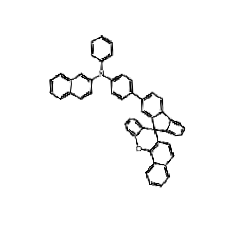 c1ccc(N(c2ccc(-c3ccc4c(c3)C3(c5ccccc5Oc5c3ccc3ccccc53)c3ccccc3-4)cc2)c2ccc3ccccc3c2)cc1